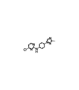 Cc1ncn(-c2ccc(Nc3nccc(Cl)n3)cc2)n1